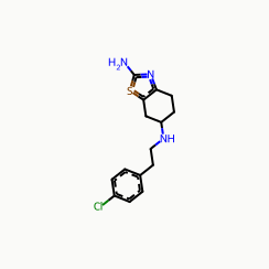 Nc1nc2c(s1)CC(NCCc1ccc(Cl)cc1)CC2